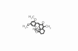 COc1cc(OC)c(C=C2CC3(C)C(=O)CCCC3=C(C)C2=O)c(OC)c1